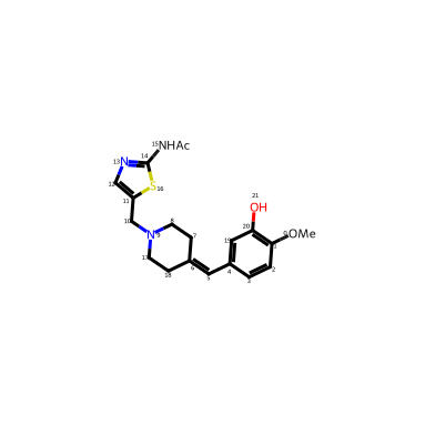 COc1ccc(C=C2CCN(Cc3cnc(NC(C)=O)s3)CC2)cc1O